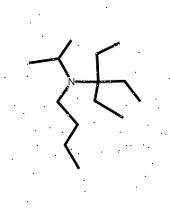 CCCCN(C(C)C)C(CC)(CC)CC